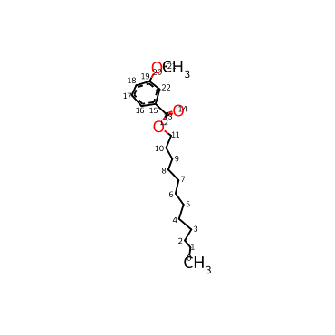 CCCCCCCCCCCCOC(=O)c1cccc(OC)c1